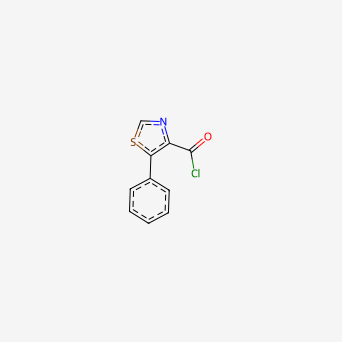 O=C(Cl)c1ncsc1-c1ccccc1